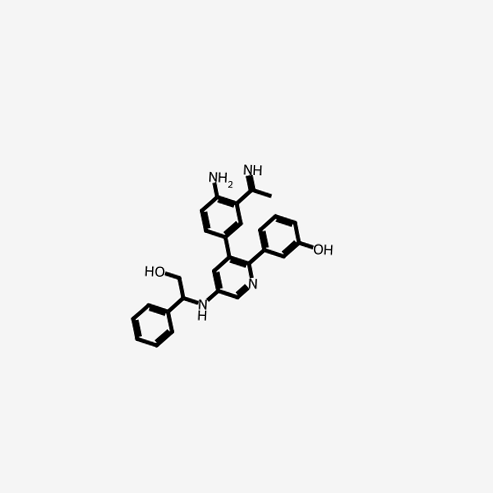 CC(=N)c1cc(-c2cc(NC(CO)c3ccccc3)cnc2-c2cccc(O)c2)ccc1N